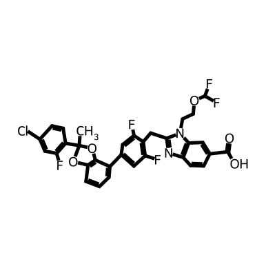 CC1(c2ccc(Cl)cc2F)Oc2cccc(-c3cc(F)c(Cc4nc5ccc(C(=O)O)cc5n4CCOC(F)F)c(F)c3)c2O1